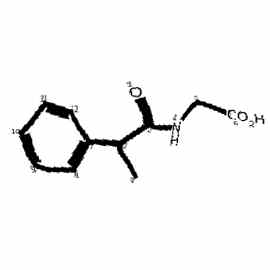 CC(C(=O)NCC(=O)O)c1ccccc1